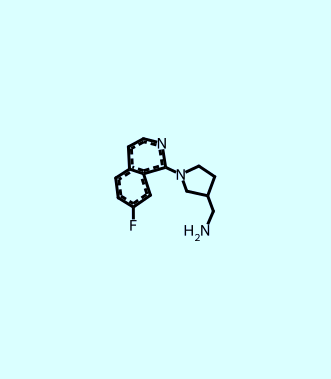 NCC1CCN(c2nccc3ccc(F)cc23)C1